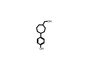 OCC1CCCC(c2ccc(O)cc2)CC1